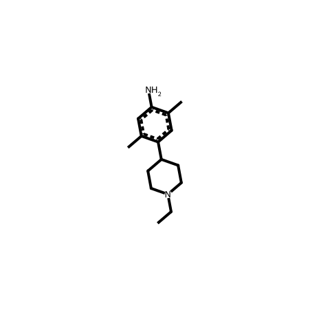 CCN1CCC(c2cc(C)c(N)cc2C)CC1